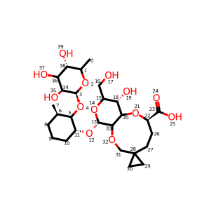 CC1O[C@@H](OC2[C@H](C)CCC[C@H]2O[C@@H]2OC(CO)[C@H](O)C3O[C@@H](C(=O)O)CCC4(CC4)COC32)[C@@H](O)C(O)[C@@H]1O